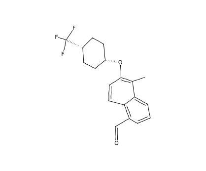 Cc1c(O[C@H]2CC[C@@H](C(F)(F)F)CC2)ccc2c(C=O)cccc12